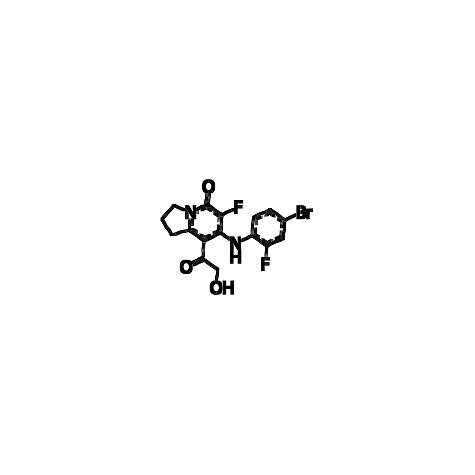 O=C(CO)c1c(Nc2ccc(Br)cc2F)c(F)c(=O)n2c1CCC2